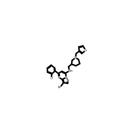 Clc1ccccc1-c1cc(NCC2CCCN(Cc3ccoc3)C2)n2ncc(Br)c2n1